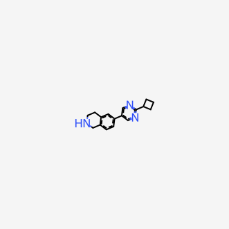 c1cc2c(cc1-c1cnc(C3CCC3)nc1)CCNC2